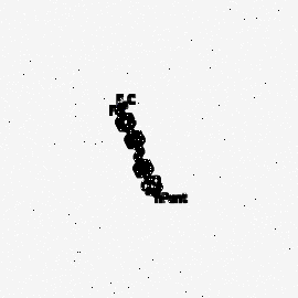 CCCCCC1COC(c2ccc(CCc3ccc(C4CCC(/C(F)=C/C(F)(F)F)CC4)cc3)cc2)OC1